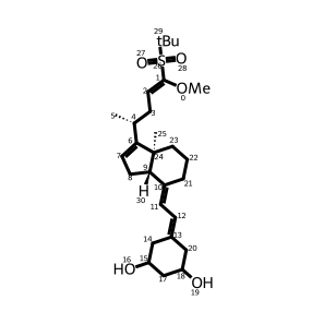 CO/C(=C\C[C@@H](C)C1=CC[C@H]2/C(=C/C=C3CC(O)CC(O)C3)CCC[C@]12C)S(=O)(=O)C(C)(C)C